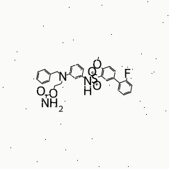 COc1ccc(-c2ccccc2F)cc1S(=O)(=O)Nc1cccc(N(CCOC(N)=O)Cc2ccccc2)c1